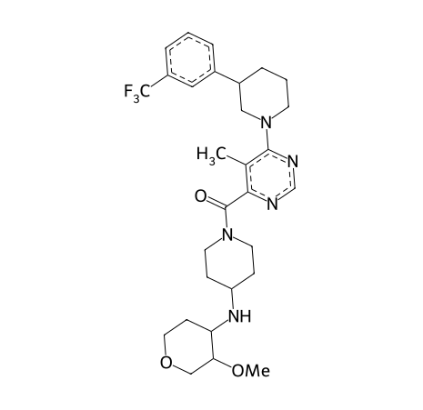 COC1COCCC1NC1CCN(C(=O)c2ncnc(N3CCCC(c4cccc(C(F)(F)F)c4)C3)c2C)CC1